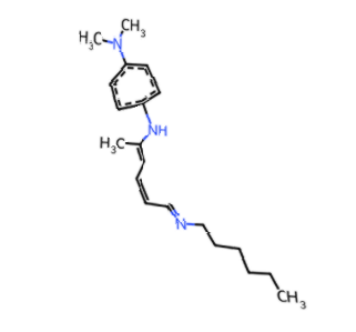 CCCCCC/N=C/C=C\C=C(/C)Nc1ccc(N(C)C)cc1